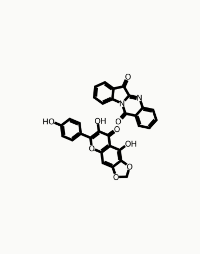 O=C1c2ccccc2-n2c1nc1ccccc1c2=O.O=c1c(O)c(-c2ccc(O)cc2)oc2cc3c(c(O)c12)OCO3